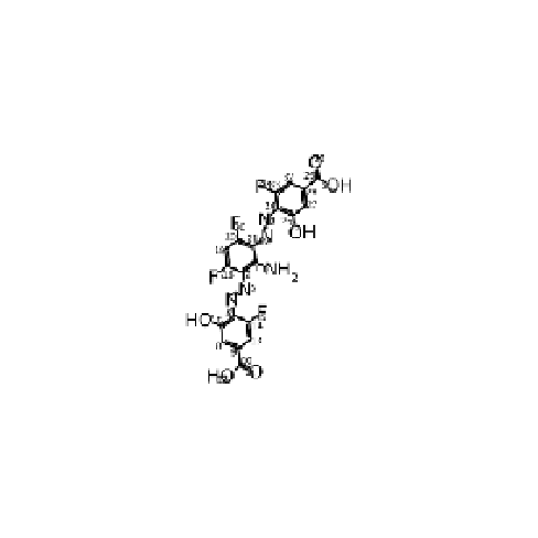 Nc1c(N=Nc2c(O)cc(C(=O)O)cc2F)c(F)cc(F)c1N=Nc1c(O)cc(C(=O)O)cc1F